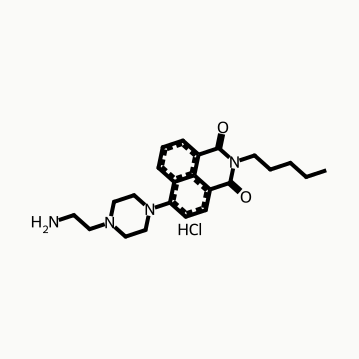 CCCCCN1C(=O)c2cccc3c(N4CCN(CCN)CC4)ccc(c23)C1=O.Cl